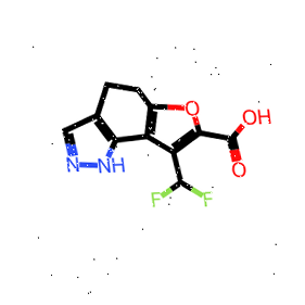 O=C(O)c1oc2c(c1C(F)F)-c1[nH]ncc1CC2